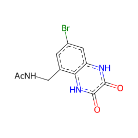 CC(=O)NCc1cc(Br)cc2[nH]c(=O)c(=O)[nH]c12